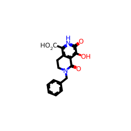 O=C(O)c1[nH]c(=O)c(O)c2c1CCN(Cc1ccccc1)C2=O